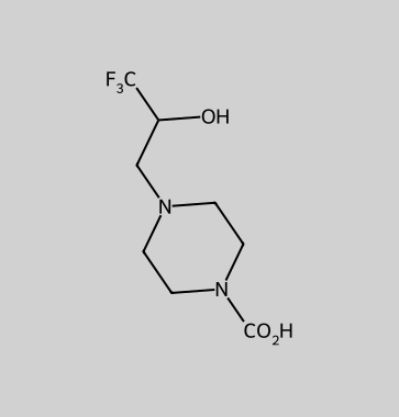 O=C(O)N1CCN(CC(O)C(F)(F)F)CC1